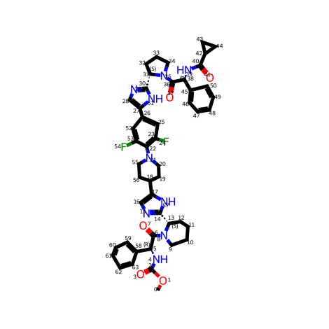 COC(=O)N[C@@H](C(=O)N1CCCC[C@H]1c1ncc(C2CCN(c3c(F)cc(-c4cnc([C@@H]5CCCN5C(=O)[C@H](NC(=O)C5CC5)c5ccccc5)[nH]4)cc3F)CC2)[nH]1)c1ccccc1